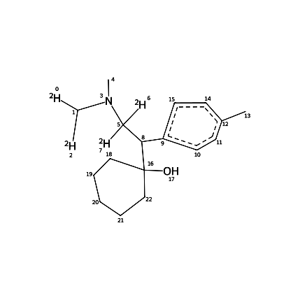 [2H]C([2H])N(C)C([2H])([2H])C(c1ccc(C)cc1)C1(O)CCCCC1